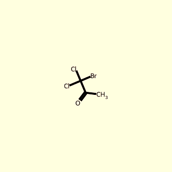 CC(=O)C(Cl)(Cl)Br